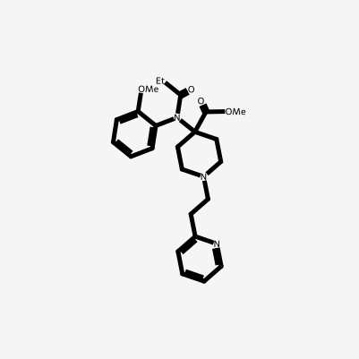 CCC(=O)N(c1ccccc1OC)C1(C(=O)OC)CCN(CCc2ccccn2)CC1